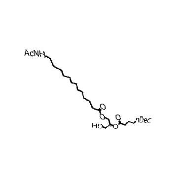 CCCCCCCCCCCCCC(=O)O[C@@H](CO)COC(=O)CCCCCCCCCCCCNC(C)=O